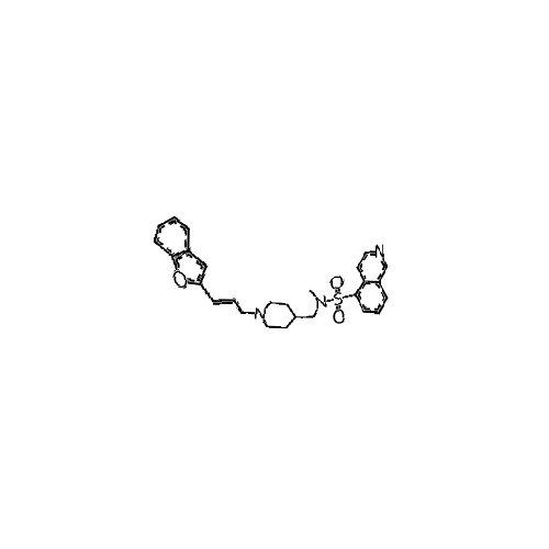 CN(CC1CCN(CC=Cc2cc3ccccc3o2)CC1)S(=O)(=O)c1cccc2cnccc12